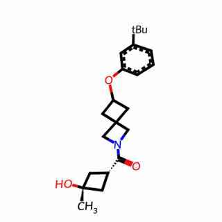 CC(C)(C)c1cccc(OC2CC3(C2)CN(C(=O)[C@H]2C[C@@](C)(O)C2)C3)c1